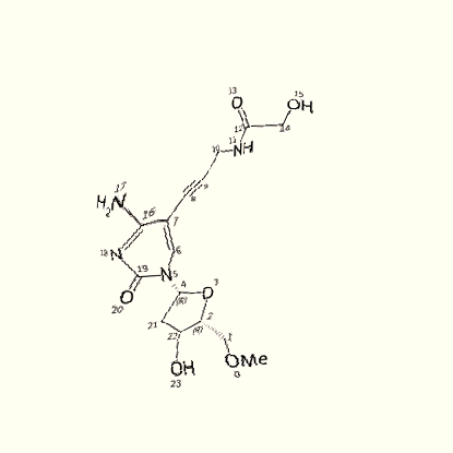 COC[C@H]1O[C@@H](n2cc(C#CCNC(=O)CO)c(N)nc2=O)CC1O